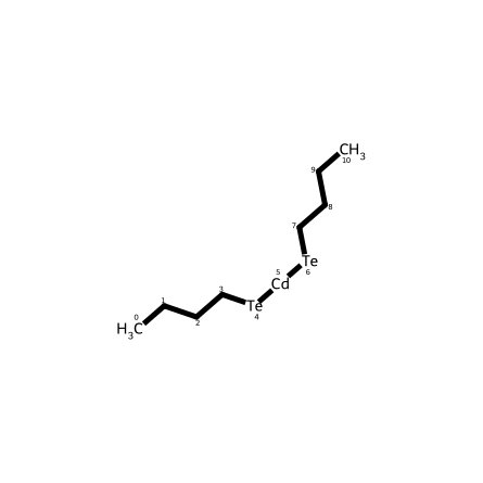 CCCC[Te][Cd][Te]CCCC